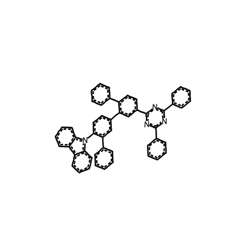 c1ccc(-c2nc(-c3ccccc3)nc(-c3ccc(-c4ccccc4)c(-c4ccc(-n5c6ccccc6c6ccccc65)c(-c5ccccc5)c4)c3)n2)cc1